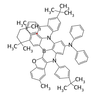 Cc1ccc2oc3c(c2c1)N(c1ccc(C(C)(C)C)cc1)c1cc(N(c2ccccc2)c2ccccc2)cc2c1B3c1cc3c(cc1N2c1ccc(C(C)(C)C)cc1-c1ccccc1)C(C)(C)CCC3(C)C